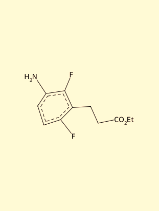 CCOC(=O)CCc1c(F)ccc(N)c1F